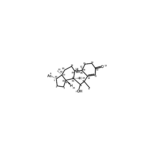 CC(=O)[C@H]1CC[C@H]2[C@@H]3C(O)C(C)C4=CC(=O)CC[C@]4(C)[C@H]3CC[C@]12C